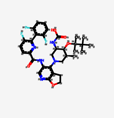 C[C@H]1CN(c2c(NC(=O)c3ccc(F)c(-c4c(F)cccc4F)n3)cnc3c2CCO3)C[C@@H](NC(=O)O)[C@H]1O[Si](C)(C)C(C)(C)C